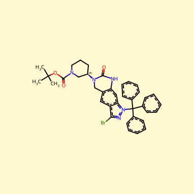 CC(C)(C)OC(=O)N1CCC[C@@H](N2Cc3cc4c(Br)nn(C(c5ccccc5)(c5ccccc5)c5ccccc5)c4cc3NC2=O)C1